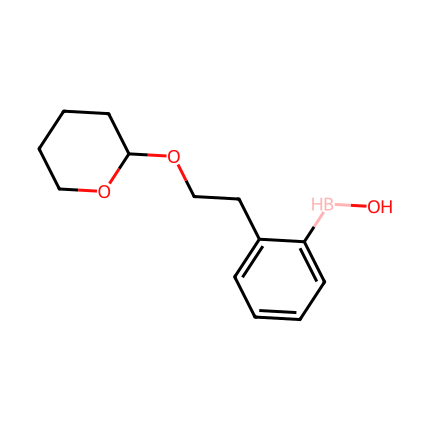 OBc1ccccc1CCOC1CCCCO1